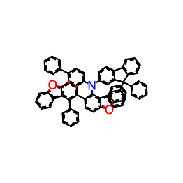 c1ccc(-c2ccc(N(c3ccc4c(c3)C(c3ccccc3)(c3ccccc3)c3ccccc3-4)c3c(-c4ccc5oc6ccccc6c5c4-c4ccccc4)ccc4oc5ccccc5c34)cc2)cc1